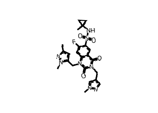 Cc1cc(Cn2c(=O)n(Cc3cnn(C)c3)c(=O)c3cc(S(=O)(=O)NC4(C)CC4)c(F)cc32)n(C)n1